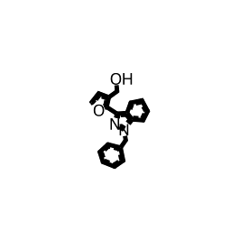 OCc1ccoc1-c1nn(Cc2ccccc2)c2ccccc12